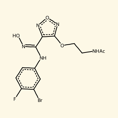 CC(=O)NCCOc1nonc1/C(=N\O)Nc1ccc(F)c(Br)c1